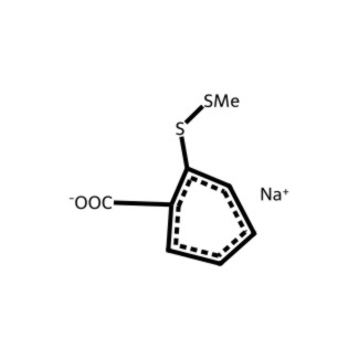 CSSc1ccccc1C(=O)[O-].[Na+]